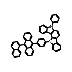 c1ccc(-n2c3ccccc3c3c2ccc2c4ccccc4n(-c4ccc(-c5c6ccccc6c(-c6cccc7ccccc67)c6ccccc56)cc4)c23)cc1